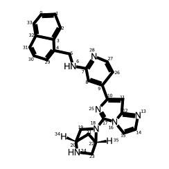 c1ccc2c(CNc3cc(-c4cc5nccn5c(N5C[C@@H]6C[C@H]5CN6)n4)ccn3)cccc2c1